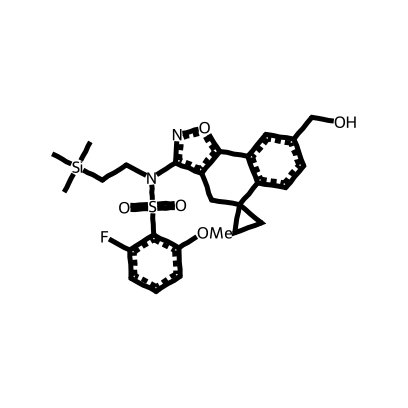 COc1cccc(F)c1S(=O)(=O)N(CC[Si](C)(C)C)c1noc2c1CC1(CC1)c1ccc(CO)cc1-2